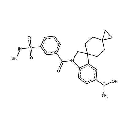 CC(C)(C)NS(=O)(=O)c1cccc(C(=O)N2CC3(CCC4(CC4)CC3)c3cc([C@H](O)C(F)(F)F)ccc32)c1